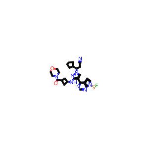 N#CCC(C1CCCC1)n1cc(-c2ncnc3c2ccn3SF)c(NC2CC(C(=O)N3CCOCC3)C2)n1